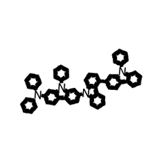 c1ccc(N(c2ccccc2)c2ccc3c4ccc(-n5c6ccccc6c6c(-c7ccc8c9ccccc9n(-c9ccccc9)c8c7)cccc65)cc4n(-c4ccccc4)c3c2)cc1